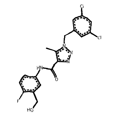 Cc1c(C(=O)Nc2ccc(F)c(CO)c2)nnn1Cc1cc(Cl)cc(Cl)c1